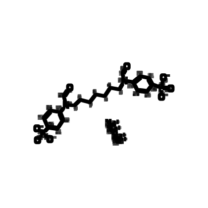 O=CN(CCCCCCCN(C=O)c1ccc(P(=O)([O-])[O-])cc1)c1ccc(P(=O)([O-])[O-])cc1.[Na+].[Na+].[Na+].[Na+]